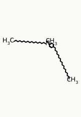 CCCCCCCCCCCCCCCCCCc1ccc(N(C)CCCCCCCCCCCCCCCCCC)cc1